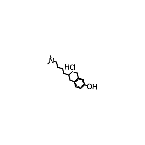 CN(C)CCCCC1CCc2cc(O)ccc2C1.Cl